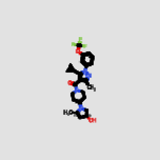 Cc1nn(-c2cccc(OC(F)(F)F)c2)c(C2CC2)c1C(=O)N1CCC(N2C[C@@H](O)C[C@H]2C)CC1